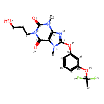 CCn1c(=O)n(CCCO)c(=O)c2c1nc(Oc1cccc(OC(C)(F)F)c1)n2C